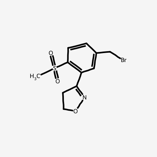 CS(=O)(=O)c1ccc(CBr)cc1C1=NOCC1